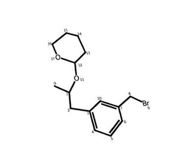 CC(Cc1cccc(CBr)c1)OC1CCCCO1